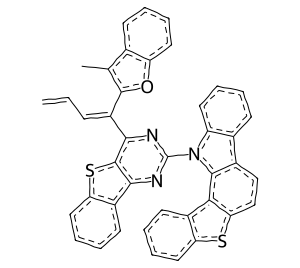 C=C/C=C(\c1oc2ccccc2c1C)c1nc(-n2c3ccccc3c3ccc4sc5ccccc5c4c32)nc2c1sc1ccccc12